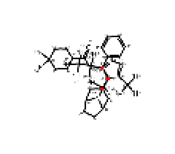 [2H]C([2H])([2H])c1nnc(C([2H])(C)C([2H])([2H])[2H])n1C1CC2CCC(C1)N2C([2H])([2H])CC(NC(=O)C1CCC(F)(F)CC1)c1ccccc1